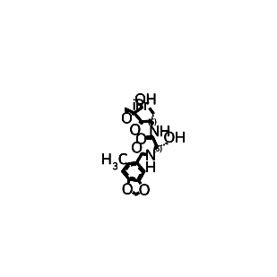 Cc1cc2c(cc1C(=O)N[C@@H](CO)C(=O)N[C@@H](CC(C)C)C(=O)C1(CO)CO1)OCO2